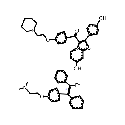 CC/C(=C(\c1ccccc1)c1ccc(OCCN(C)C)cc1)c1ccccc1.O=C(c1ccc(OCCN2CCCCC2)cc1)c1c(-c2ccc(O)cc2)sc2cc(O)ccc12